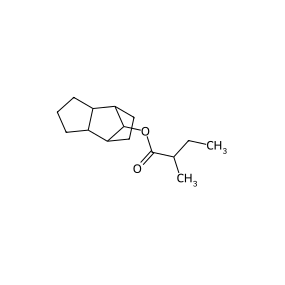 CCC(C)C(=O)OC1C2CCC1C1CCCC12